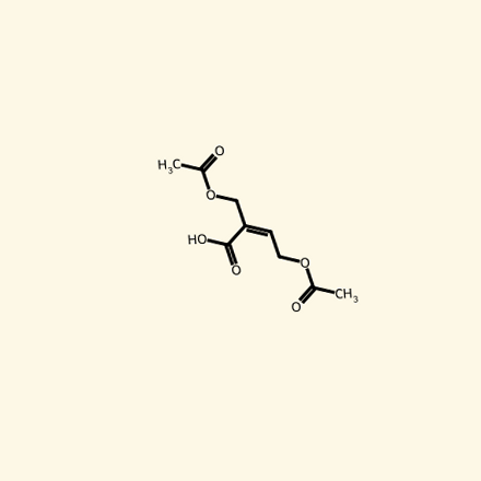 CC(=O)OCC=C(COC(C)=O)C(=O)O